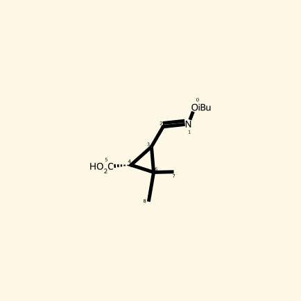 CC(C)CO/N=C/C1[C@@H](C(=O)O)C1(C)C